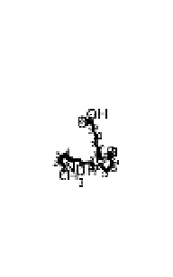 Cc1cccc(CC(O)/C=C/[C@H]2CCCC(=O)N2CCCCCCC(=O)O)n1